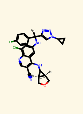 [2H]C(Nc1cc(Cl)c2ncc(C#N)c(NC3[C@H]4COC[C@@H]34)c2c1)(c1ccc(F)cc1)c1cn(C2CC2)nn1